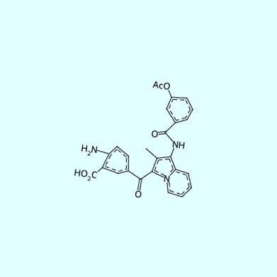 CC(=O)Oc1cccc(C(=O)Nc2c(C)c(C(=O)c3ccc(N)c(C(=O)O)c3)n3ccccc23)c1